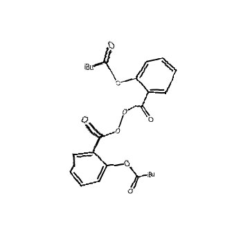 CCC(C)C(=O)Oc1ccccc1C(=O)OOC(=O)c1ccccc1OC(=O)C(C)CC